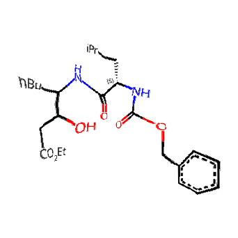 CCCCC(NC(=O)[C@H](CC(C)C)NC(=O)OCc1ccccc1)C(O)CC(=O)OCC